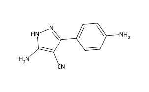 N#Cc1c(-c2ccc(N)cc2)n[nH]c1N